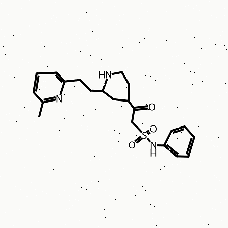 Cc1cccc(CCC2CC(C(=O)CS(=O)(=O)Nc3ccccc3)CCN2)n1